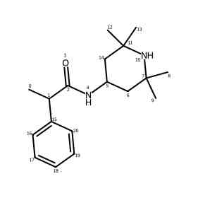 CC(C(=O)NC1CC(C)(C)NC(C)(C)C1)c1ccccc1